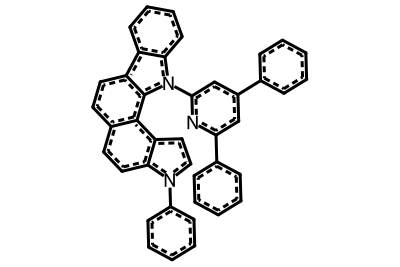 c1ccc(-c2cc(-c3ccccc3)nc(-n3c4ccccc4c4ccc5ccc6c(ccn6-c6ccccc6)c5c43)c2)cc1